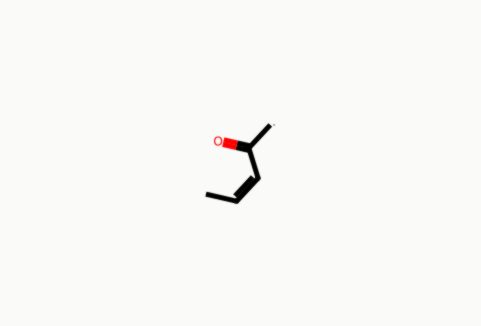 [CH2]C(=O)/C=C\C